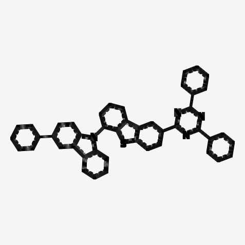 c1ccc(-c2ccc3c(c2)c2ccccc2n3-c2cccc3c2sc2ccc(-c4nc(-c5ccccc5)nc(-c5ccccc5)n4)cc23)cc1